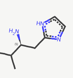 CC(C)[C@@H](N)Cc1ncc[nH]1